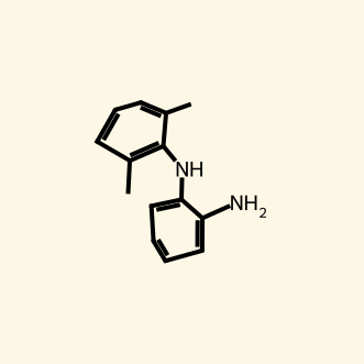 Cc1cccc(C)c1Nc1ccccc1N